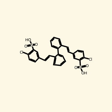 O=S(=O)(O)c1cc(C=Cc2ccccc2-c2ccccc2C=Cc2ccc(Cl)c(S(=O)(=O)O)c2)ccc1Cl